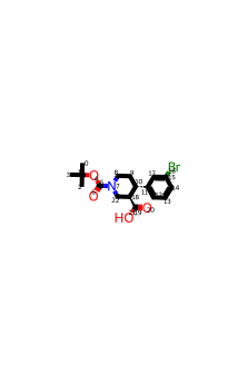 CC(C)(C)OC(=O)N1CC[C@H](c2cccc(Br)c2)[C@@H](C(=O)O)C1